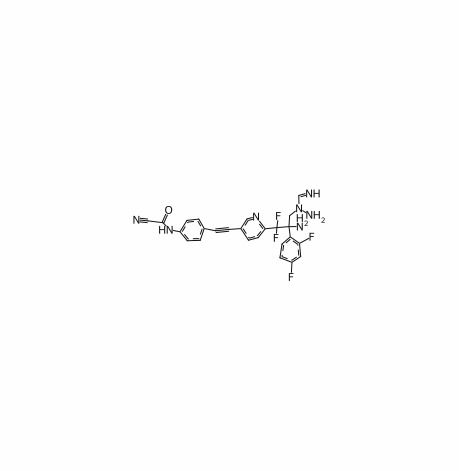 N#CC(=O)Nc1ccc(C#Cc2ccc(C(F)(F)C(N)(CN(N)C=N)c3ccc(F)cc3F)nc2)cc1